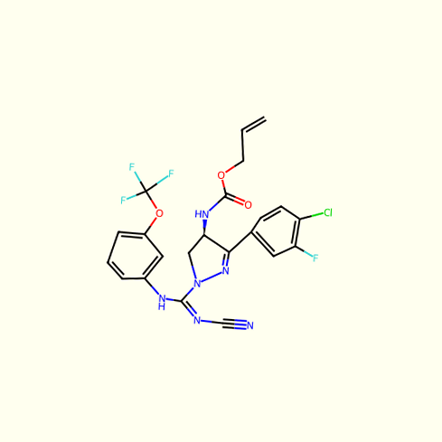 C=CCOC(=O)N[C@@H]1CN(/C(=N\C#N)Nc2cccc(OC(F)(F)F)c2)N=C1c1ccc(Cl)c(F)c1